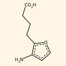 Nc1ccoc1CCCC(=O)O